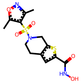 Cc1noc(C)c1S(=O)(=O)N1CCc2cc(C(=O)NO)sc2C1